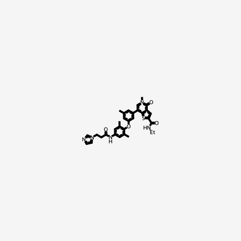 CCNC(=O)c1cc2c(=O)n(C)cc(-c3cc(C)cc(Oc4c(C)cc(NC(=O)CCn5ccnc5)cc4C)c3)c2s1